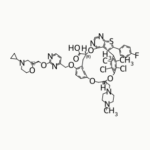 Cc1c(Cl)c2c(Cl)c(C)c1-c1c(-c3ccc(F)cc3)sc3ncnc(c13)O[C@@H](C(=O)O)Cc1cc(ccc1OCc1ccnc(OC[C@@H]3CN(C4CC4)CCO3)n1)OC[C@@H](CN1CCN(C)CC1)O2